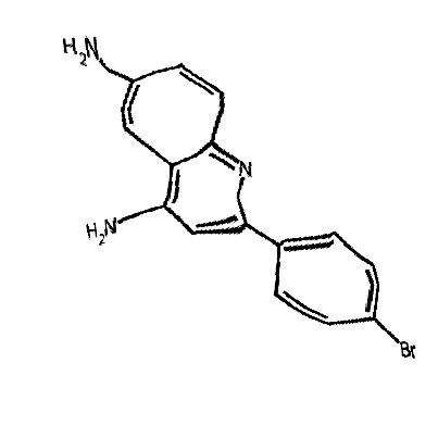 Nc1ccc2nc(-c3ccc(Br)cc3)cc(N)c2c1